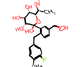 COc1ccc(Cc2ccc(CO)cc2[C@@]2(O)O[C@H]([C@H](C)O)[C@@H](O)[C@H](O)[C@H]2O)cc1F